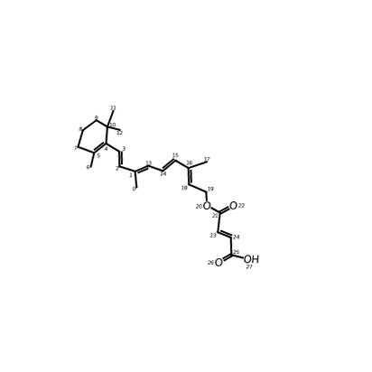 CC(C=CC1=C(C)CCCC1(C)C)=CC=CC(C)=CCOC(=O)/C=C/C(=O)O